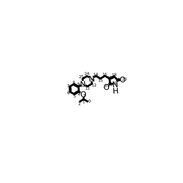 CC(C)Oc1ccccc1N1CCN(CCCC2=CC(=O)NC2=O)CC1